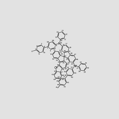 Cc1ccc(-c2ccc(N(c3ccccc3)c3ccc4c(c3)C3(c5cc(N(c6ccccc6)c6ccc(-c7ccc(C)cc7)cc6)ccc5-4)c4ccccc4-c4c3ccc3c4oc4ccccc43)cc2)cc1